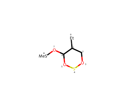 CCC1COSOC1OSC